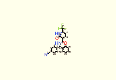 N#Cc1ccc(C(NC(=O)c2ccc(C(F)(F)F)[nH]c2=O)c2ccccc2)cc1